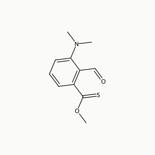 COC(=S)c1cccc(N(C)C)c1C=O